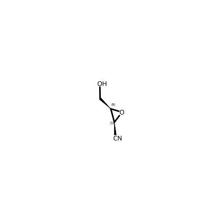 N#C[C@@H]1O[C@@H]1CO